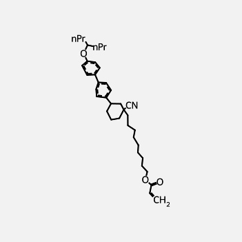 C=CC(=O)OCCCCCCCCCC1(C#N)CCCC(c2ccc(-c3ccc(OC(CCC)CCC)cc3)cc2)C1